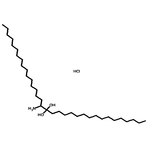 CCCCCCCCCCCCCCCCC(N)C(O)(O)CCCCCCCCCCCCCCCC.Cl